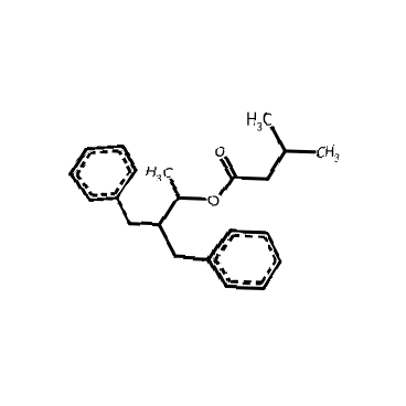 CC(C)CC(=O)OC(C)C(Cc1ccccc1)Cc1ccccc1